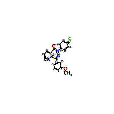 COc1cccc(-c2nn(-c3ccc(F)cc3)c(=O)c3cccnc23)c1